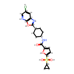 O=C(N[C@H]1CC[C@H](c2nc3cc(Cl)cnc3o2)CC1)c1ccc(S(=O)(=O)C2CC2)o1